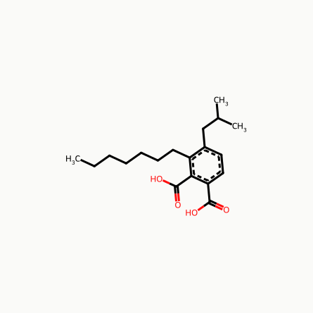 CCCCCCCc1c(CC(C)C)ccc(C(=O)O)c1C(=O)O